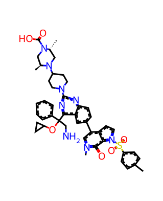 Cc1ccc(S(=O)(=O)n2ccc3c(-c4ccc5nc(N6CCC(N7C[C@@H](C)N(C(=O)O)C[C@@H]7C)CC6)nc(C(CN)(OC6CC6)c6ccccc6)c5c4)cn(C)c(=O)c32)cc1